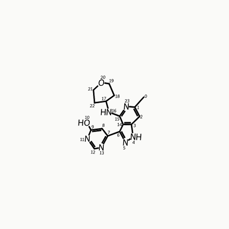 Cc1cc2[nH]nc(-c3cc(O)ncn3)c2c(NC2CCOCC2)n1